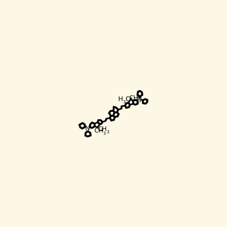 CC1(C)c2cc(/C=C/c3ccc4ccc5c(/C=C/c6ccc7c(c6)C(C)(C)c6cc(N(c8ccccc8)c8ccccc8)ccc6-7)ccc6ccc3c4c65)ccc2-c2ccc(N(c3ccccc3)c3ccccc3)cc21